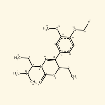 CCC1SC(=O)N(C(CC)N(C)C)N=C1c1ccc(OCF)c(OC)c1